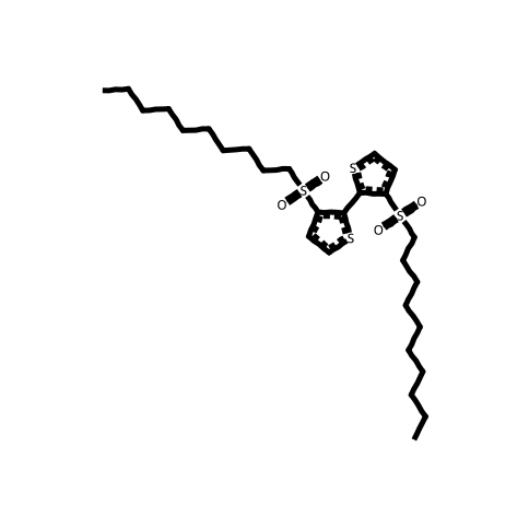 CCCCCCCCCCS(=O)(=O)c1ccsc1-c1sccc1S(=O)(=O)CCCCCCCCCC